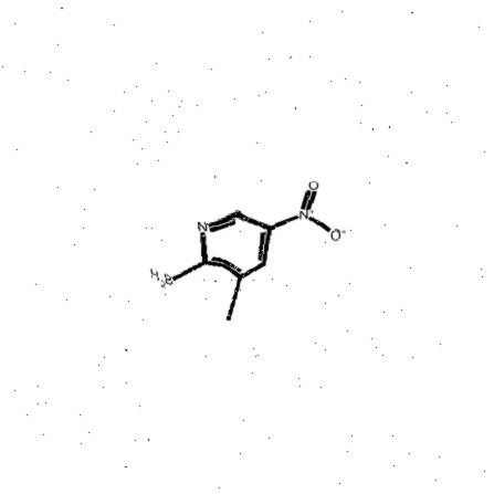 Bc1ncc([N+](=O)[O-])cc1C